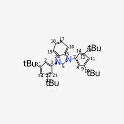 CC(C)(C)c1cc(N2CN(c3cc(C(C)(C)C)cc(C(C)(C)C)c3)c3ccccc32)cc(C(C)(C)C)c1